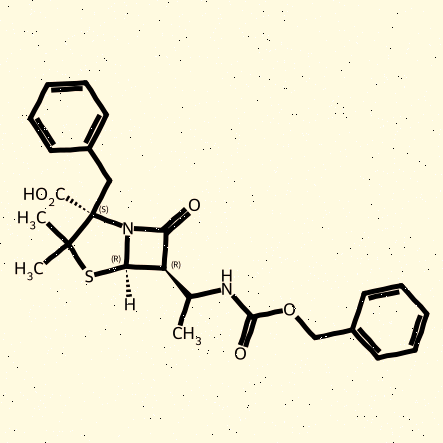 CC(NC(=O)OCc1ccccc1)[C@@H]1C(=O)N2[C@@H]1SC(C)(C)[C@]2(Cc1ccccc1)C(=O)O